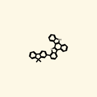 CC1(C)c2ccccc2-c2ccc(-c3cccc4c3oc3c4c4ccccc4c4[nH]c5ccccc5c43)cc21